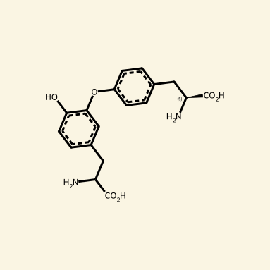 NC(Cc1ccc(O)c(Oc2ccc(C[C@H](N)C(=O)O)cc2)c1)C(=O)O